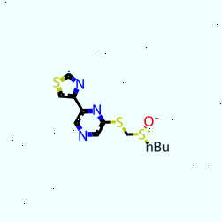 CCCC[S+]([O-])CSc1cncc(-c2cs[c]n2)n1